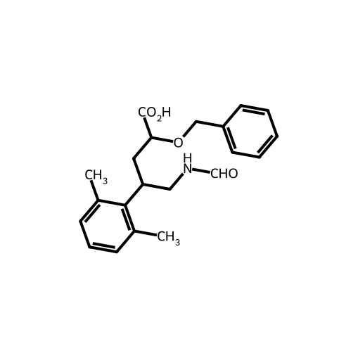 Cc1cccc(C)c1C(CNC=O)CC(OCc1ccccc1)C(=O)O